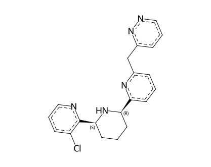 Clc1cccnc1[C@@H]1CCC[C@H](c2cccc(Cc3cccnn3)n2)N1